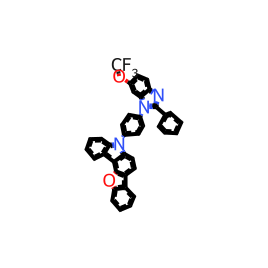 FC(F)(F)Oc1ccc2nc(-c3ccccc3)n(-c3ccc(-n4c5ccccc5c5c6oc7ccccc7c6ccc54)cc3)c2c1